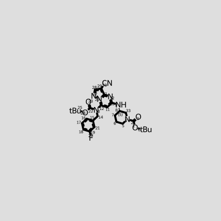 CC(C)(C)OC(=O)N1CCC[C@H](Nc2cc(N(Cc3cccc(F)c3)C(=O)OC(C)(C)C)n3ncc(C#N)c3n2)C1